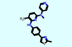 Cc1nc(-c2ccc(Nc3nc(N(C)c4ccncc4)ccc3[N+](=O)[O-])cc2)cs1